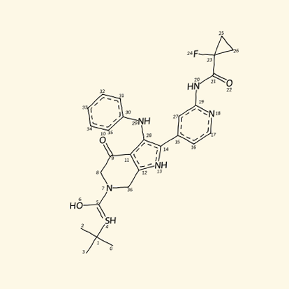 CC(C)(C)[SH]=C(O)N1CC(=O)c2c([nH]c(-c3ccnc(NC(=O)C4(F)CC4)c3)c2Nc2ccccc2)C1